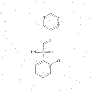 N=S(=O)(/C=C/c1cccnc1)c1ccccc1Cl